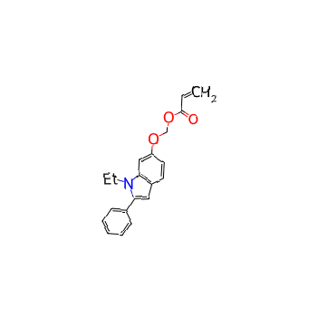 C=CC(=O)OCOc1ccc2cc(-c3ccccc3)n(CC)c2c1